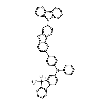 CC1(C)c2ccccc2-c2ccc(N(c3ccccc3)c3ccc(-c4ccc5sc6cc(-n7c8ccccc8c8ccccc87)ccc6c5c4)cc3)cc21